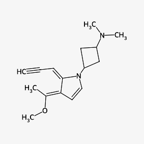 C#C/C=c1\c(=C(/C)OC)ccn1C1CC(N(C)C)C1